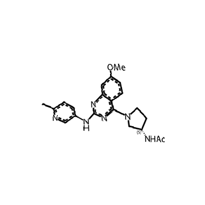 COc1ccc2c(N3CC[C@H](NC(C)=O)C3)nc(Nc3ccc(C)nc3)nc2c1